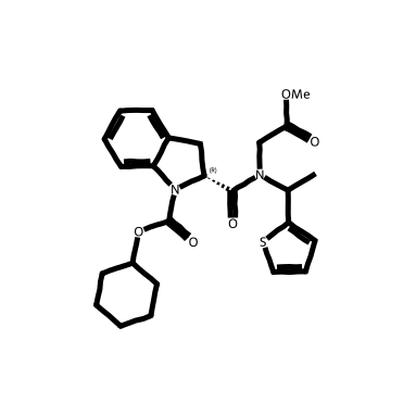 COC(=O)CN(C(=O)[C@H]1Cc2ccccc2N1C(=O)OC1CCCCC1)C(C)c1cccs1